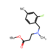 CN(CCC(=O)OC(C)(C)C)Cc1ccc(C#N)cc1F